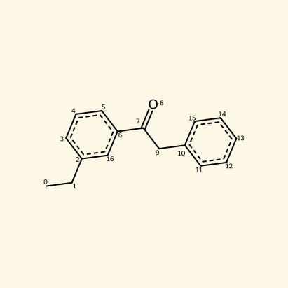 CCc1cccc(C(=O)Cc2ccccc2)c1